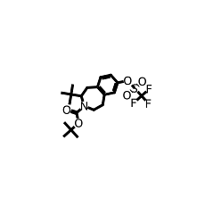 CC(C)(C)OC(=O)N1CCc2cc(OS(=O)(=O)C(F)(F)F)ccc2CC1C(C)(C)C